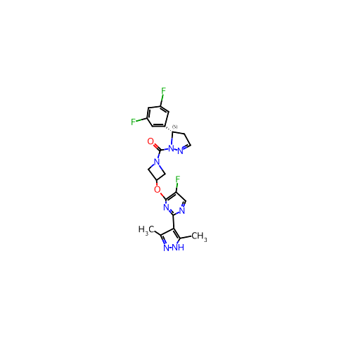 Cc1n[nH]c(C)c1-c1ncc(F)c(OC2CN(C(=O)N3N=CC[C@H]3c3cc(F)cc(F)c3)C2)n1